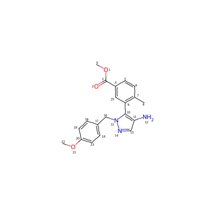 COC(=O)c1ccc(C)c(-c2c(N)cnn2Cc2ccc(OC)cc2)c1